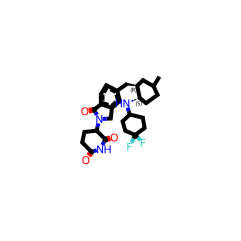 CC1CC[C@H](NC2CCC(F)(F)CC2)[C@@H](Cc2ccc3c(c2)CN(C2CCC(=O)NC2=O)C3=O)C1